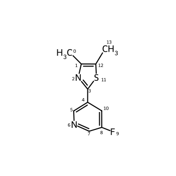 Cc1nc(-c2cncc(F)c2)sc1C